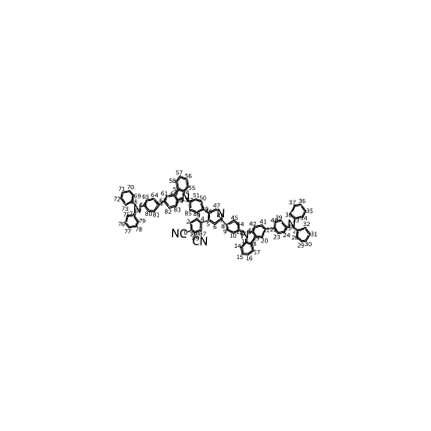 N#Cc1ccc(-c2cc(-c3ccc(-n4c5ccccc5c5cc(-c6ccc(N(c7ccccc7)c7ccccc7)cc6)ccc54)cc3)ncc2-c2ccc(-n3c4ccccc4c4cc(-c5ccc(N(c6ccccc6)c6ccccc6)cc5)ccc43)cc2)cc1C#N